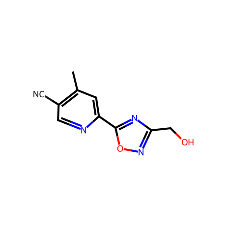 Cc1cc(-c2nc(CO)no2)ncc1C#N